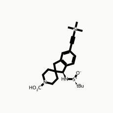 CC(C)(C)[S@@+]([O-])N[C@@H]1c2ccc(C#C[Si](C)(C)C)cc2CC12CCN(C(=O)O)CC2